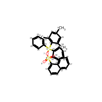 Cc1cc(C)c(S(OS(=O)(=O)c2cccc3ccccc23)(c2ccccc2)c2ccccc2)c(C)c1